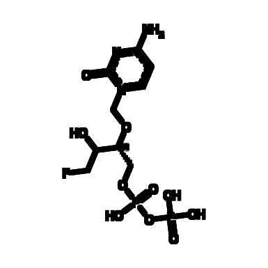 Nc1ccn(CO[C@H](COP(=O)(O)OP(=O)(O)O)C(O)CF)c(=O)n1